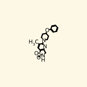 Cc1cc2c(nc1N1CCC(Oc3ccccc3)CC1)CNS2(=O)=O